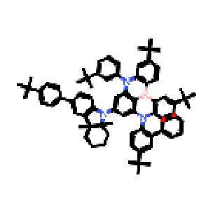 CC(C)(C)c1ccc(-c2ccc3c(c2)C2(C)CCCCC2(C)N3c2cc3c4c(c2)N(c2ccc(C(C)(C)C)cc2-c2ccccc2)c2ccc(C(C)(C)C)cc2B4c2ccc(C(C)(C)C)cc2N3c2cccc(C(C)(C)C)c2)cc1